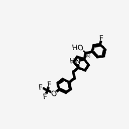 O[C@@H](c1cccc(F)c1)C12CCC(CCc3ccc(OC(F)(F)F)cc3)(CC1)N2